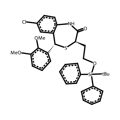 COc1cccc([C@H]2S[C@H](CCO[Si](c3ccccc3)(c3ccccc3)C(C)(C)C)C(=O)Nc3ccc(Cl)cc32)c1OC